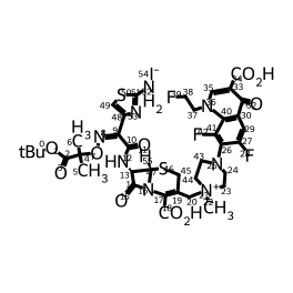 CC(C)(C)OC(=O)C(C)(C)O/N=C(\C(=O)N[C@H]1C(=O)N2C(C(=O)O)=C(C[N+]3(C)CCN(c4c(F)cc5c(=O)c(C(=O)O)cn(CCF)c5c4F)CC3)CS[C@@H]12)c1csc(N)n1.[I-]